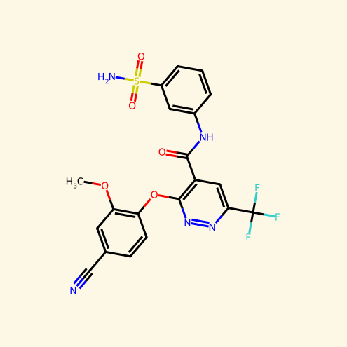 COc1cc(C#N)ccc1Oc1nnc(C(F)(F)F)cc1C(=O)Nc1cccc(S(N)(=O)=O)c1